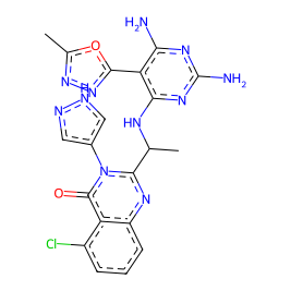 Cc1nnc(-c2c(N)nc(N)nc2NC(C)c2nc3cccc(Cl)c3c(=O)n2-c2cn[nH]c2)o1